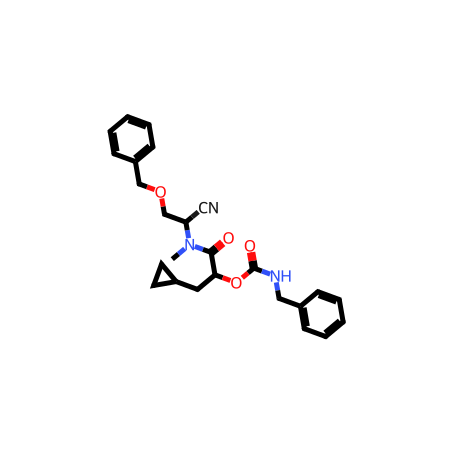 CN(C(=O)C(CC1CC1)OC(=O)NCc1ccccc1)C(C#N)COCc1ccccc1